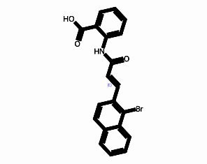 O=C(/C=C/c1ccc2ccccc2c1Br)Nc1ccccc1C(=O)O